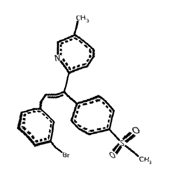 Cc1ccc(C(=Cc2cccc(Br)c2)c2ccc(S(C)(=O)=O)cc2)nc1